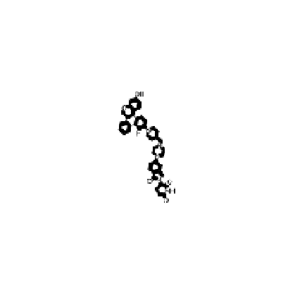 O=C1CCC(N2Cc3cc(N4CCN(CC5CCN(c6ccc([C@H]7c8ccc(O)cc8OC[C@H]7c7ccccc7)cc6F)CC5)CC4)ccc3C2=O)C(=O)N1